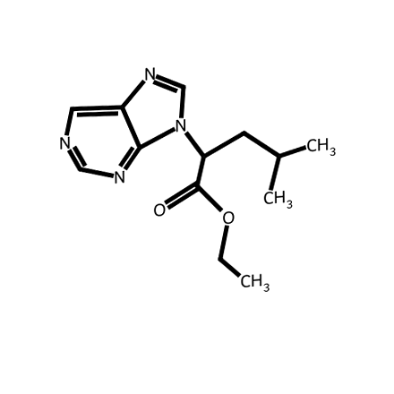 CCOC(=O)C(CC(C)C)n1cnc2cncnc21